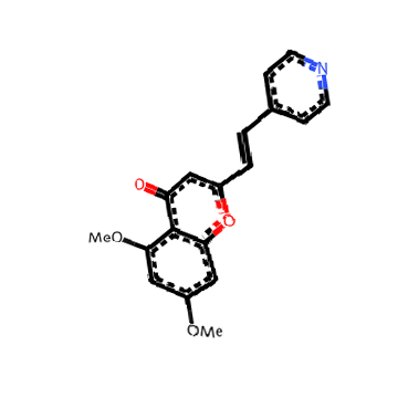 COc1cc(OC)c2c(=O)cc(/C=C/c3ccncc3)oc2c1